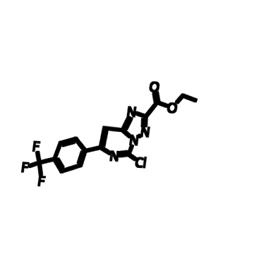 CCOC(=O)c1nc2cc(-c3ccc(C(F)(F)F)cc3)nc(Cl)n2n1